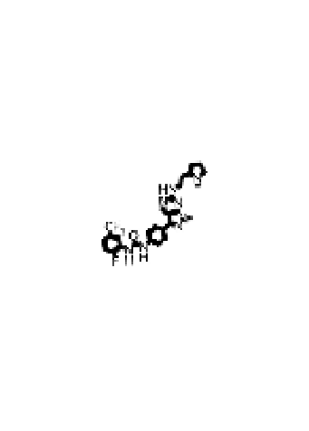 CN1CCCC1CCNc1ncc2c(-c3ccc(NC(=O)Nc4cc(C(F)(F)F)ccc4F)cc3)nn(C)c2n1